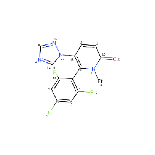 CCn1c(-c2c(F)cc(F)cc2F)c(-n2cncn2)ccc1=O